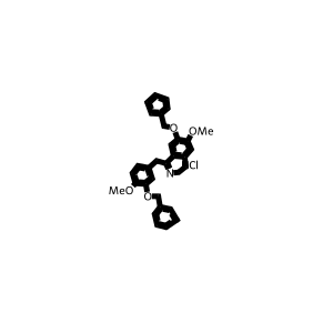 COc1ccc(CC2=NCCc3cc(OC)c(OCc4ccccc4)cc32)cc1OCc1ccccc1.Cl